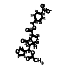 CC(=O)OC(c1ccon1)C1C(=O)N2C(C(=O)OCc3ccc([N+](=O)[O-])cc3)=CS[C@H]12